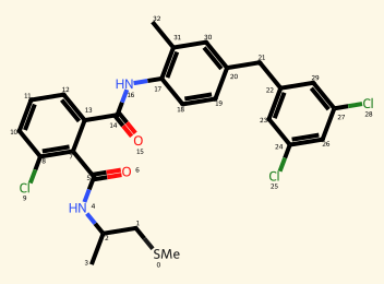 CSCC(C)NC(=O)c1c(Cl)cccc1C(=O)Nc1ccc(Cc2cc(Cl)cc(Cl)c2)cc1C